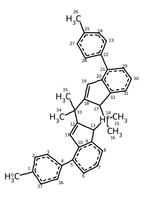 Cc1ccc(-c2cccc3c2C=C2[CH]3[Hf]([CH3])([CH3])[CH]3C(=Cc4c(-c5ccc(C)cc5)cccc43)C2(C)C)cc1